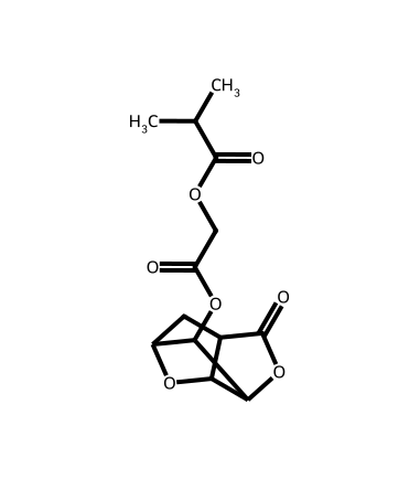 CC(C)C(=O)OCC(=O)OC1C2CC3C(=O)OC1C3O2